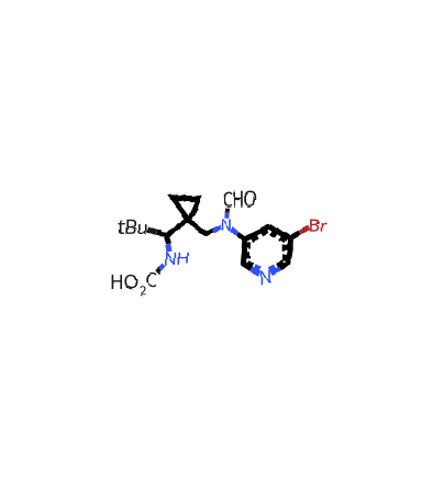 CC(C)(C)C(NC(=O)O)C1(CN(C=O)c2cncc(Br)c2)CC1